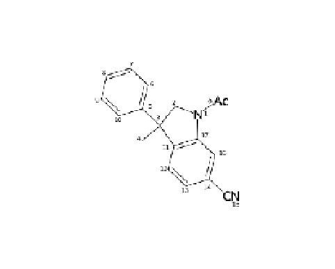 CC(=O)N1CC(C)(c2ccccc2)c2ccc(C#N)cc21